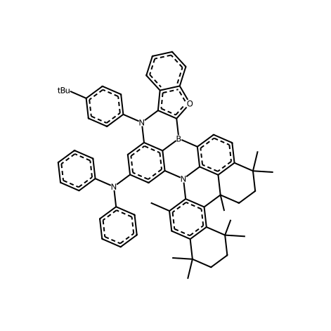 Cc1cc2c(c3c1N1c4cc(N(c5ccccc5)c5ccccc5)cc5c4B(c4ccc6c(c41)C3(C)CCC6(C)C)c1oc3ccccc3c1N5c1ccc(C(C)(C)C)cc1)C(C)(C)CCC2(C)C